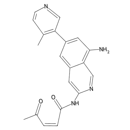 CC(=O)/C=C\C(=O)Nc1cc2cc(-c3cnccc3C)cc(N)c2cn1